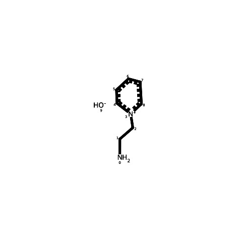 NCC[n+]1ccccc1.[OH-]